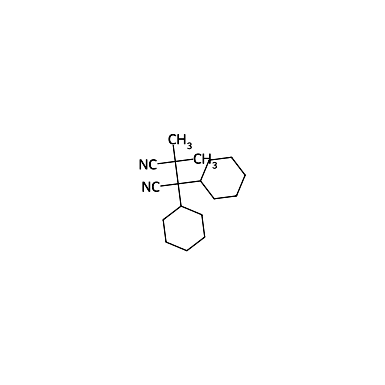 CC(C)(C#N)C(C#N)(C1CCCCC1)C1CCCCC1